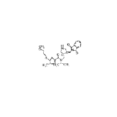 COCCCOc1cc(C(=O)N(C[C@@H]2CNC[C@H]2CN2C(=O)c3ccccc3C2=O)C(C)C)ccc1C